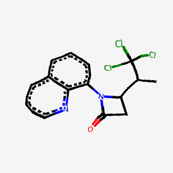 CC(C1CC(=O)N1c1cccc2cccnc12)C(Cl)(Cl)Cl